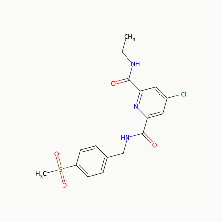 CCNC(=O)c1cc(Cl)cc(C(=O)NCc2ccc(S(C)(=O)=O)cc2)n1